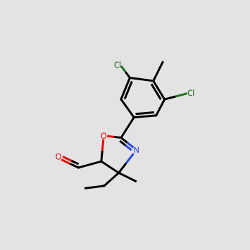 CCC1(C)N=C(c2cc(Cl)c(C)c(Cl)c2)OC1C=O